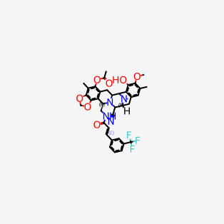 COc1c(C)cc2c(c1O)C1C3Cc4c(OC(C)=O)c(C)c5c(c4[C@H](CNC(=O)/C=C/c4cccc(C(F)(F)F)c4)N3C(C#N)[C@@H](C2)N1C)OCO5